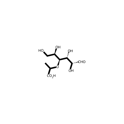 CC(O[C@H]([C@H](O)[C@@H](O)C=O)[C@H](O)CO)C(=O)O